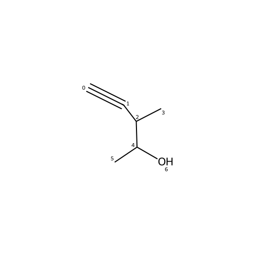 C#CC(C)C(C)O